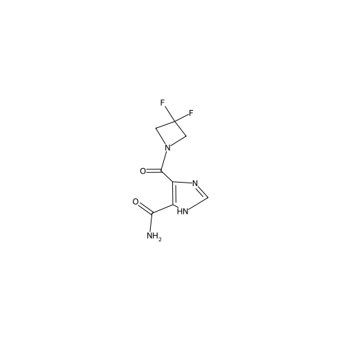 NC(=O)c1[nH]cnc1C(=O)N1CC(F)(F)C1